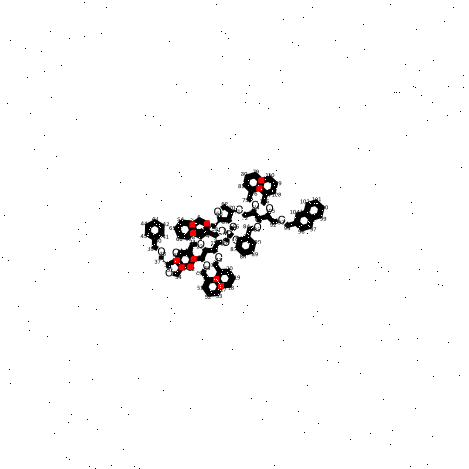 O=P(OCc1ccccc1)(OCC(OCc1ccccc1)C(OCc1ccccc1)C(CO[C@@H]1CO[C@H](COCc2ccccc2)[C@@H]1O)OCc1ccccc1)OC1[C@@H](COCc2ccccc2)OC[C@H]1OCC(OCc1ccccc1)C(OCc1ccccc1)C(COCc1ccc2ccccc2c1)OCc1ccccc1